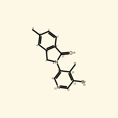 Cc1ccc2c(c1)CN(c1cncc(Br)c1C)C2=O